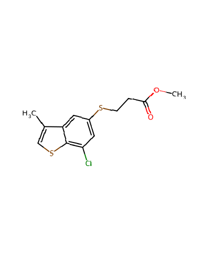 COC(=O)CCSc1cc(Cl)c2scc(C)c2c1